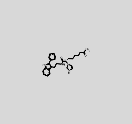 CC(=O)CCCCC[C@@H](C(=O)NCCc1c(-c2ccccc2)[nH]c2ccccc12)N1C=CNC1